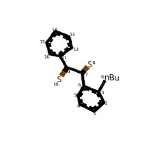 CCCCc1ccccc1C(=S)C(=S)c1ccccc1